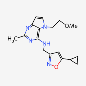 COCCn1ccc2nc(C)nc(NCc3cc(C4CC4)on3)c21